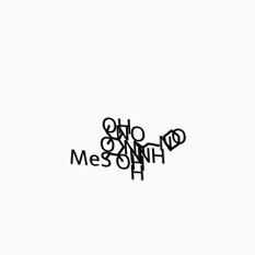 CSC1OC(CO)C(N=O)C(N2C=C(CCN3CCOCC3)NN2)C1O